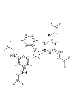 CC(C)CNc1cc([C@H]2C[C@H](c3cc(NCC(C)C)nc(NCC(C)C)n3)C2c2ccccc2)nc(NCC(C)C)n1